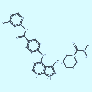 Cc1ccnc(NC(=O)c2ccc(Oc3ccnc4[nH]nc(N[C@@H]5CCCN(C(=O)N(C)C)C5)c34)cc2)c1